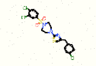 O=S(=O)(c1ccc(Cl)c(Cl)c1)N1CCN(c2nc(Cc3ccc(Cl)cc3)cs2)CC1